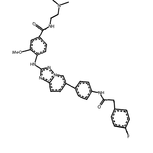 COc1cc(C(=O)NCCN(C)C)ccc1Nc1nc2ccc(-c3ccc(NC(=O)Cc4ccc(F)cc4)cc3)cn2n1